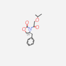 CC(C)OCC(=O)N1C(=O)OC[C@@H]1Cc1ccccc1